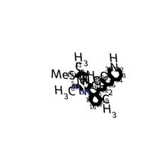 C=C/C(=N\C(=C/C)n1ncc(C)c1SC)C1=CCCC(C)=C1CCC(C=C)CC1=C(C)CNCCC1